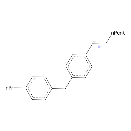 CCCCC/C=C/c1ccc(Cc2ccc(CCC)cc2)cc1